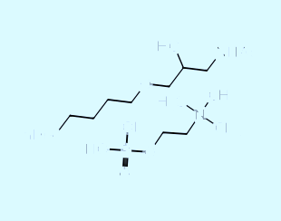 CCCCCCCCCCCCCCOCC(O)CNC(C)=O.C[N+](C)(C)CCOP(=O)(O)O